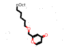 CCCCCCCCCCCCCOCc1cc(=O)cco1